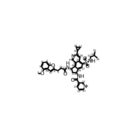 COc1cccc2oc(CCC(=O)N[C@H]3C[C@H](NC(=O)c4cccnc4)c4cc(S(=O)(=O)NCC(C)C)c5cc(C6CC6)ncc5c43)cc12